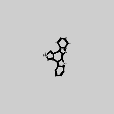 c1ccc2c(c1)=Nc1c3c(c4c[nH]cc4c1=2)=c1ccccc1=N3